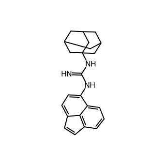 N=C(Nc1ccc2c3c(cccc13)C=C2)NC12CC3CC(CC(C3)C1)C2